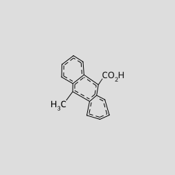 Cc1c2ccccc2c(C(=O)O)c2ccccc12